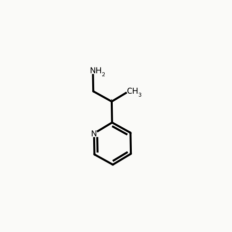 C[C](CN)c1ccccn1